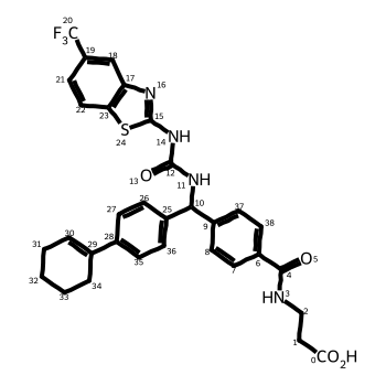 O=C(O)CCNC(=O)c1ccc(C(NC(=O)Nc2nc3cc(C(F)(F)F)ccc3s2)c2ccc(C3=CCCCC3)cc2)cc1